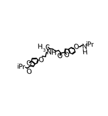 CC(C)NCCOc1ccc2oc(C(=O)CCCC(C)NCCCOc3ccc4oc(C(=O)C(C)C)cc4c3)cc2c1